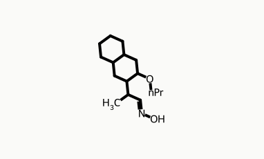 CCCOC1CC2CCCCC2CC1C(C)C=NO